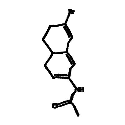 CC(=O)NC1=CCC2CCC(Br)=CC2=C1